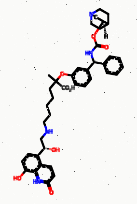 CC(CCCCCNC[C@H](O)c1ccc(O)c2[nH]c(=O)ccc12)(Oc1cccc(C(NC(=O)O[C@H]2CN3CCC2CC3)c2ccccc2)c1)C(=O)O